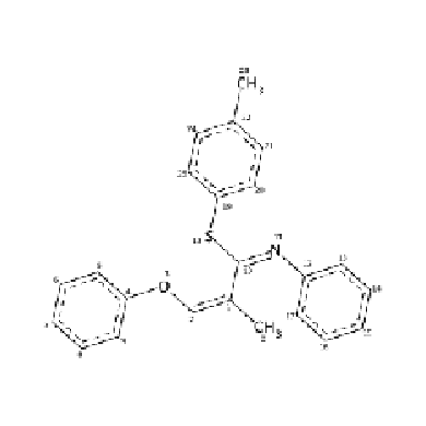 CC(=COc1ccccc1)C(=Nc1ccccc1)Sc1ccc(C)cc1